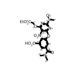 CCOC(=O)COc1nc([S+](C)[O-])nc(Oc2cc(C(=O)O)cc(C(=O)N(C)C)c2)c1[N+](=O)[O-]